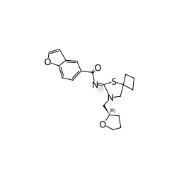 O=C(/N=C1\SC2(CCC2)CN1C[C@H]1CCCO1)c1ccc2occc2c1